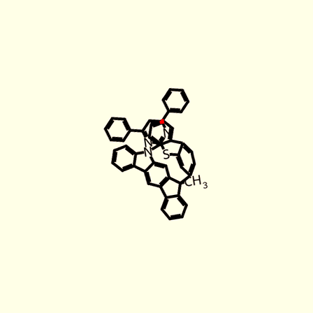 CC12c3ccc(c(Sc4nc(-c5ccccc5)cc(-c5ccccc5)n4)c3)-c3ccccc3-n3c4ccccc4c4cc(c1cc43)-c1ccccc12